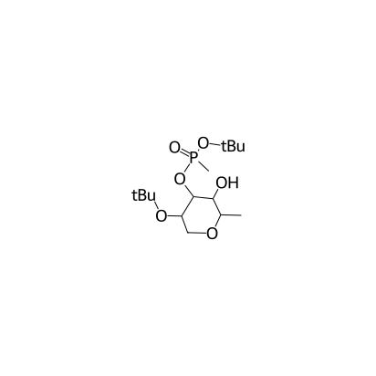 CC1OCC(OC(C)(C)C)C(OP(C)(=O)OC(C)(C)C)C1O